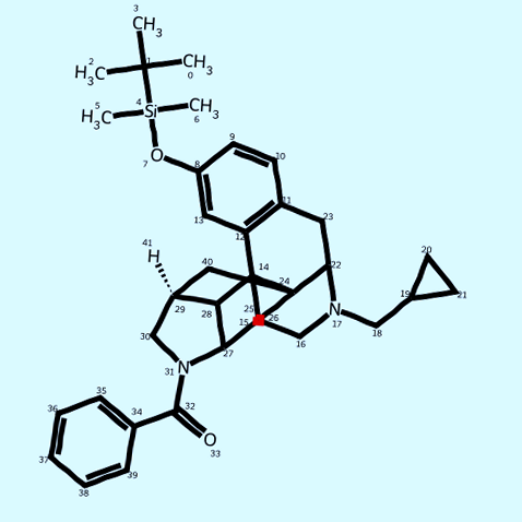 CC(C)(C)[Si](C)(C)Oc1ccc2c(c1)C13CCN(CC4CC4)C(C2)C12CCC1C3[C@@H](CN1C(=O)c1ccccc1)C2